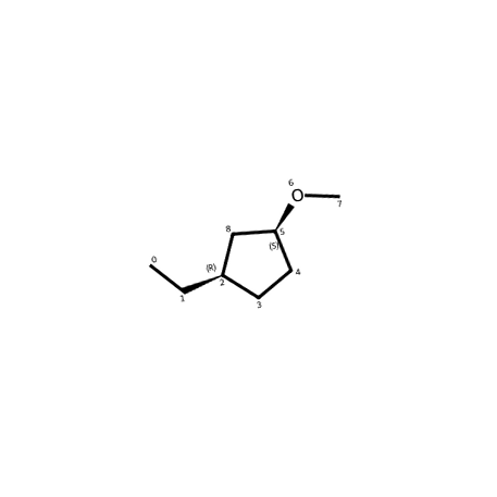 CC[C@@H]1CC[C@H](OC)C1